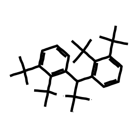 [CH2]C([CH2])([CH2])[C](c1cccc(C(C)(C)C)c1C(C)(C)C)c1cccc(C(C)(C)C)c1C(C)(C)C